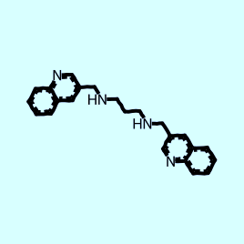 c1ccc2ncc(CNCCCNCc3cnc4ccccc4c3)cc2c1